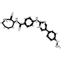 COc1ccc(-c2cnc(Nc3ccc(C(=O)NC4CCCCNC4=O)cc3)nc2)cc1